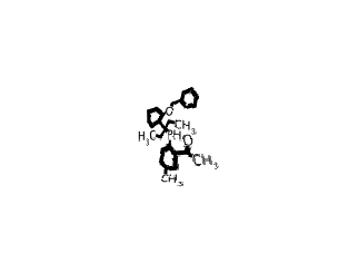 CCC(CC)(Pc1ccc(C)cc1C(C)=O)c1ccccc1OCc1ccccc1